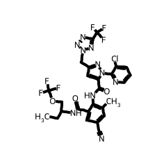 CCC(COC(F)(F)F)NC(=O)c1cc(C#N)cc(C)c1NC(=O)c1cc(Cn2nnc(C(F)(F)F)n2)nn1-c1ncccc1Cl